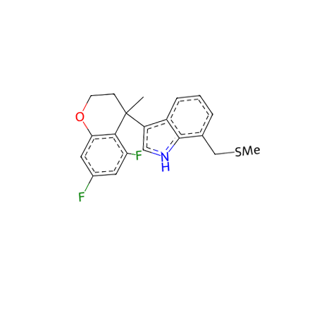 CSCc1cccc2c(C3(C)CCOc4cc(F)cc(F)c43)c[nH]c12